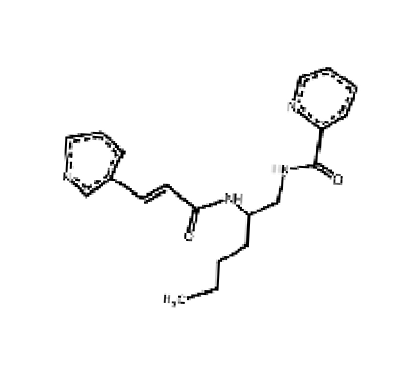 CCCCC(CNC(=O)c1ccccn1)NC(=O)C=Cc1cccnc1